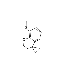 CSc1cccc2c1OCCC21CC1